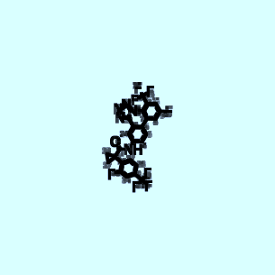 O=C(Nc1ccc(-c2cc(F)cc(C(F)(F)F)c2)c(-c2nnn[nH]2)c1)C1(c2ccc(C(F)(F)F)cc2F)CC1